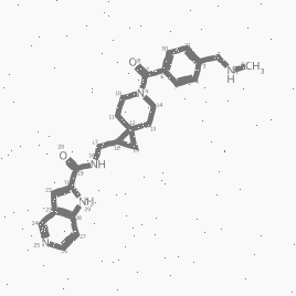 CNCc1ccc(C(=O)N2CCC3(CC2)CC3CNC(=O)c2cc3cnccc3[nH]2)cc1